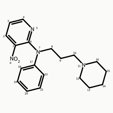 O=[N+]([O-])c1cccnc1N(CCCN1CCCCC1)c1ccccc1